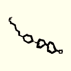 FCCC/C=C/[C@H]1CC[C@H](c2ccc(-c3ccc(Cl)cc3)cc2)CC1